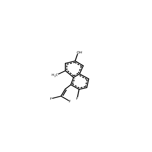 Cc1cc(O)cc2ccc(F)c(C=C(F)F)c12